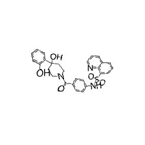 O=C(c1ccc(NS(=O)(=O)c2cccc3cccnc23)cc1)N1CCC(O)(c2ccccc2O)CC1